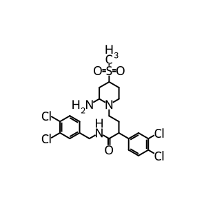 CS(=O)(=O)C1CCN(CCC(C(=O)NCc2ccc(Cl)c(Cl)c2)c2ccc(Cl)c(Cl)c2)C(N)C1